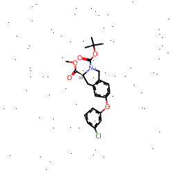 COC(=O)[C@@H]1Cc2cc(Oc3cccc(Cl)c3)ccc2CN1C(=O)OC(C)(C)C